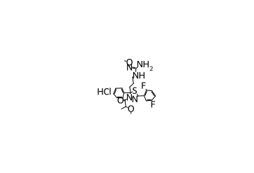 CON=C(N)NCCCC1(c2ccccc2)SC(c2cc(F)ccc2F)=NN1C(=O)C(C)OC.Cl